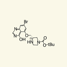 CC(C)(C)OC(=O)N1CCN[C@H](COc2cc(Br)cc3ncnc(O)c23)C1